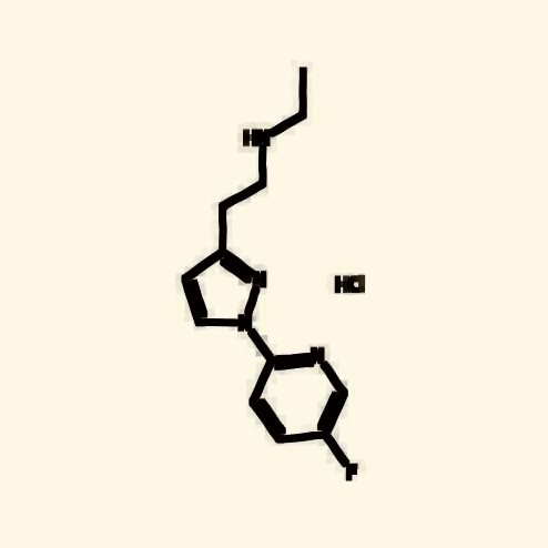 CCNCCc1ccn(-c2ccc(F)cn2)n1.Cl